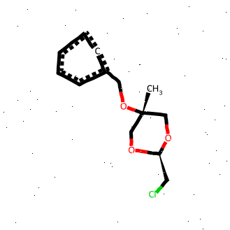 C[C@]1(OCc2ccccc2)CO[C@H](CCl)OC1